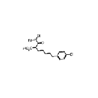 CCN(CC)C(=O)C(CCCCCc1ccc(Cl)cc1)C(=O)O